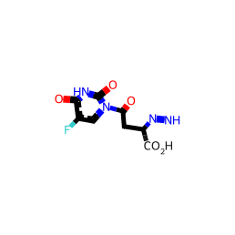 N=NC(CC(=O)n1cc(F)c(=O)[nH]c1=O)C(=O)O